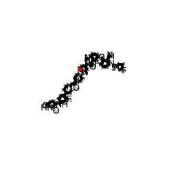 N#Cc1c(NSN2CCC(F)C2)ccc(F)c1Oc1ccc2ncn(-c3cnc(N4CCN(C(=O)CN5CCC(c6ccc(NC7CCC(=O)NC7=O)cc6F)CC5)CC4)nc3)c(=O)c2c1